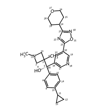 CN1CC(C)([C@](O)(c2ccc(C3CC3)cc2)c2cncc(-c3nc(C4CCOCC4)no3)c2)C1